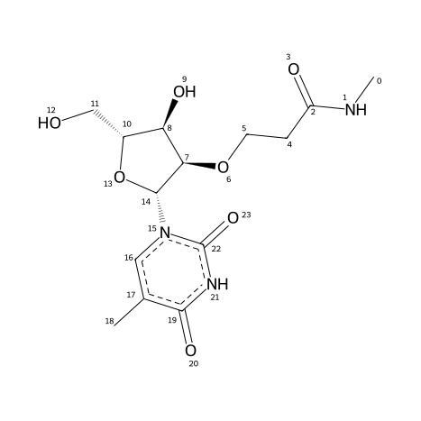 CNC(=O)CCO[C@@H]1[C@H](O)[C@@H](CO)O[C@H]1n1cc(C)c(=O)[nH]c1=O